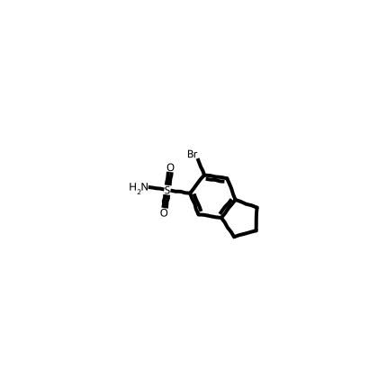 NS(=O)(=O)c1cc2c(cc1Br)CCC2